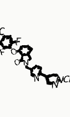 CN1CC(c2ccc(CN3Cc4cccc(Oc5c(F)cc(C#N)cc5F)c4C3=O)cn2)C=N1